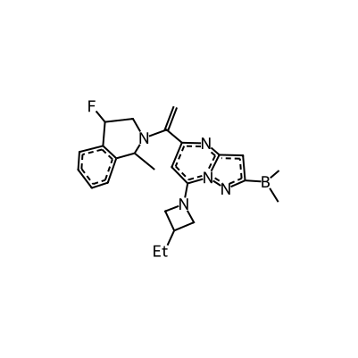 C=C(c1cc(N2CC(CC)C2)n2nc(B(C)C)cc2n1)N1CC(F)c2ccccc2C1C